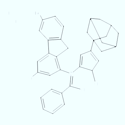 C/[C](c1ccccc1)=[Zr](\[C]1=CC(C23CC4CC(CC(C4)C2)C3)=CC1C)[c]1cc(C(C)(C)C)cc2c1Cc1ccc(C(C)(C)C)cc1-2.Cl.Cl